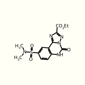 CCOC(=O)c1nc2c3cc(S(=O)(=O)N(C)C)ccc3[nH]c(=O)n2n1